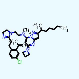 C=C(C)c1cc(Cl)ccc1CCC1=NCCN1CCN(C)c1cc(N2CCC2)nc2cc(C(C)CCCCC)nn12